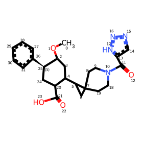 COC1CC(C2CC23CCN(C(=O)c2cnn[nH]2)CC3)C(C(=O)O)C[C@H]1c1ccccc1